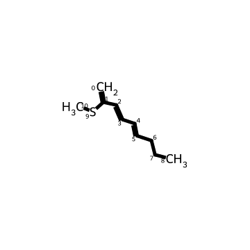 C=C(/C=C/C=C/CCC)SC